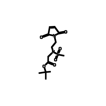 CC(C)(C)OC(=O)CN(CCN1C(=O)C=CC1=O)S(C)(=O)=O